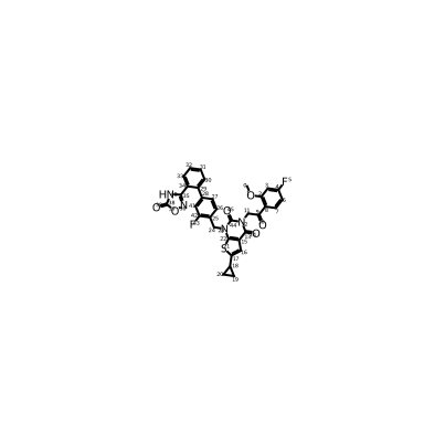 COc1cc(F)ccc1C(=O)Cn1c(=O)c2cc(C3CC3)sc2n(Cc2ccc(-c3ccccc3-c3noc(=O)[nH]3)cc2F)c1=O